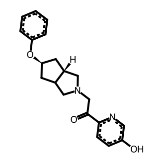 O=C(CN1CC2C[C@@H](Oc3ccccc3)C[C@@H]2C1)c1ccc(O)cn1